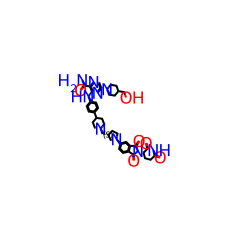 NC(=O)c1ncc(N2CCC(CO)CC2)nc1Nc1ccc(C2CCN(C[C@@H]3CCN(c4ccc5c(c4)C(=O)N(C4CCC(=O)NC4=O)C5=O)C3)CC2)cc1